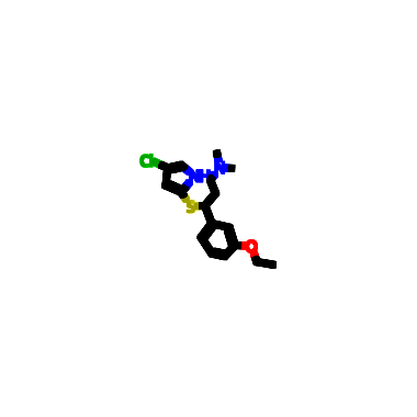 CCOc1cccc(C(CCN(C)C)Sc2cc(Cl)c[nH]2)c1